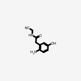 N#CCNC(=O)Cc1cc(O)ccc1N